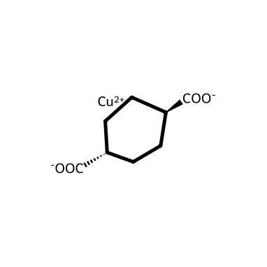 O=C([O-])[C@H]1CC[C@H](C(=O)[O-])CC1.[Cu+2]